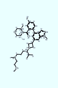 COCCN(C)CCC[C@H](C(C)C)N1CC(c2cc(-c3ccc(F)cc3C(=O)N3[C@H](C)COC[C@H]3C)c3cnn(C)c3c2)C1